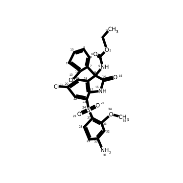 CCOC(=O)NC1(c2ccccc2Cl)C(=O)Nc2c1cc(Cl)cc2S(=O)(=O)c1ccc(N)cc1OC